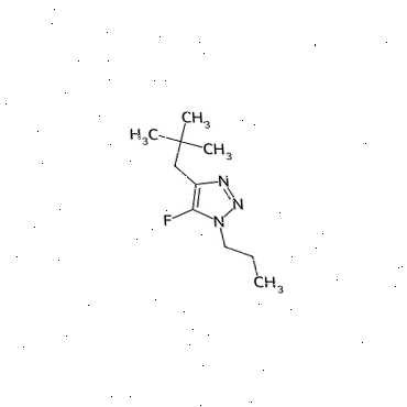 CCCn1nnc(CC(C)(C)C)c1F